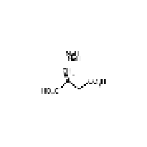 C=C(CC(=O)O)C(=O)O.[NaH].[NaH]